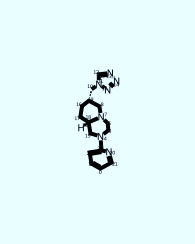 c1ccc(N2CCN3C[C@@H](Cn4cnnn4)CC[C@H]3C2)nc1